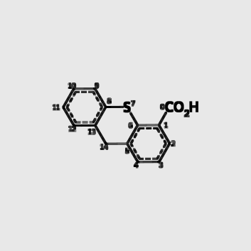 O=C(O)c1cccc2c1Sc1ccccc1C2